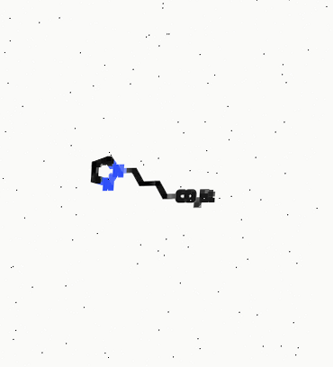 CCOC(=O)CCCCn1cccn1